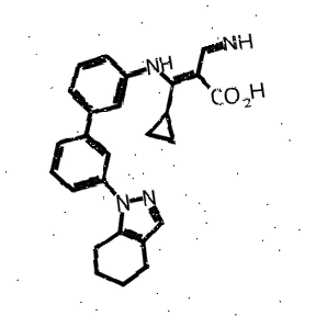 N=C/C(C(=O)O)=C(\Nc1cccc(-c2cccc(-n3ncc4c3CCCC4)c2)c1)C1CC1